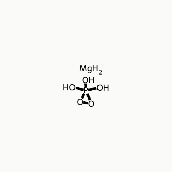 OP1(O)(O)OO1.[MgH2]